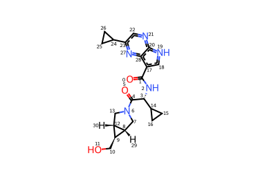 O=C(N[C@@H](C(=O)N1C[C@@H]2[C@@H](CO)[C@@H]2C1)C1CC1)c1c[nH]c2ncc(C3CC3)nc12